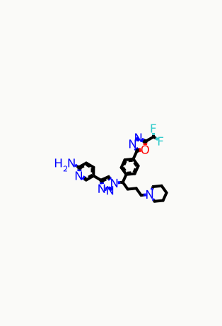 Nc1ccc(-c2cn(C(CCCN3CCCCC3)c3ccc(-c4nnc(C(F)F)o4)cc3)nn2)cn1